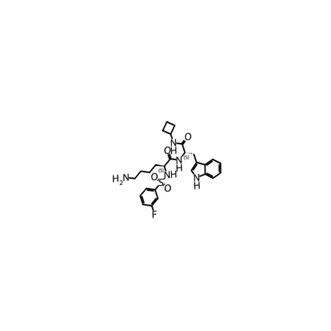 NCCCC[C@H](NS(=O)(=O)c1cccc(F)c1)C(=O)N[C@@H](Cc1c[nH]c2ccccc12)C(=O)NC1CCC1